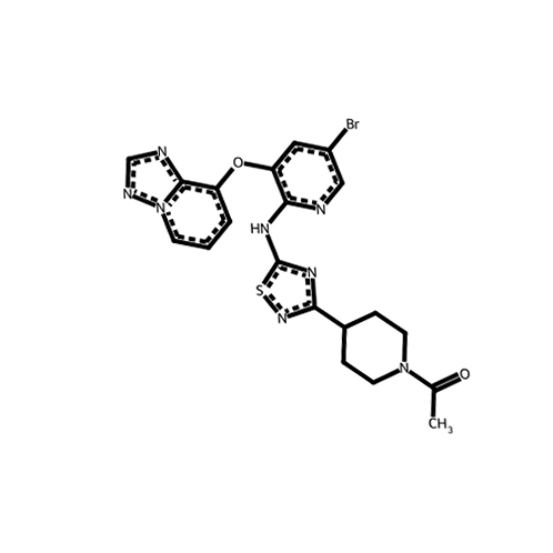 CC(=O)N1CCC(c2nsc(Nc3ncc(Br)cc3Oc3cccn4ncnc34)n2)CC1